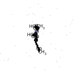 CCC(=O)OCCCCCCc1ccc(C(=O)Oc2ccc(/N=N/c3ccc(C)c(S(=O)(=O)O)c3)cc2C(O)O)cc1